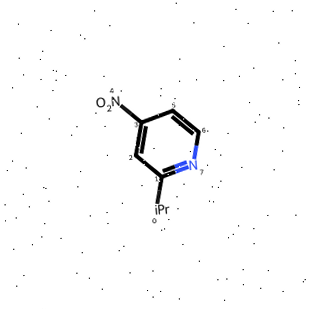 CC(C)c1cc([N+](=O)[O-])ccn1